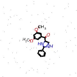 COc1cc(OC)cc(C(=O)C2CNC(c3ccccc3)N2)c1